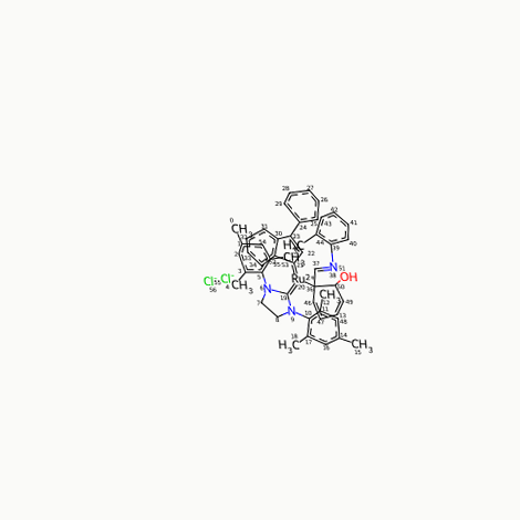 Cc1cc(C)c(N2CCN(c3c(C)cc(C)cc3C)[C]2=[Ru+2](=[C]2C=C(c3ccccc3)c3ccccc32)[C]2(/C=N/c3ccccc3C)C=CC=CC2O)c(C)c1.[Cl-].[Cl-]